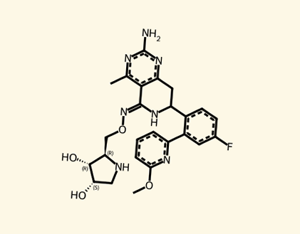 COc1cccc(-c2cc(F)ccc2C2Cc3nc(N)nc(C)c3C(=NOC[C@H]3NC[C@H](O)[C@@H]3O)N2)n1